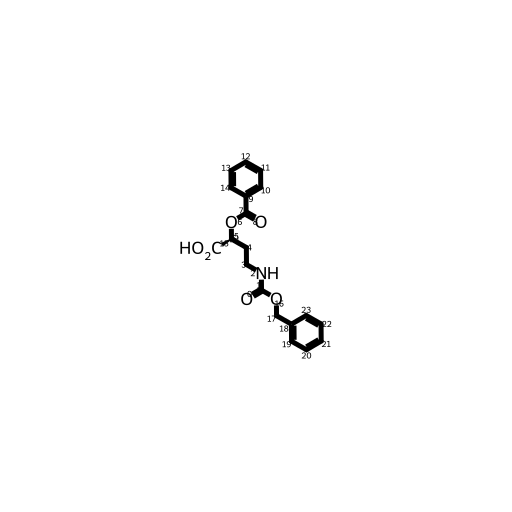 O=C(NCC[C@H](OC(=O)c1ccccc1)C(=O)O)OCc1ccccc1